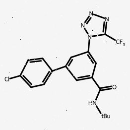 CC(C)(C)NC(=O)c1cc(-c2ccc(Cl)cc2)cc(-n2nnnc2C(F)(F)F)c1